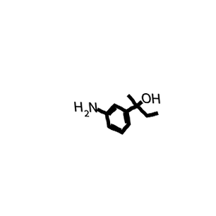 CCC(C)(O)c1cccc(N)c1